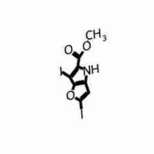 COC(=O)c1[nH]c2cc(I)oc2c1I